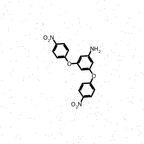 Nc1cc(Oc2ccc([N+](=O)[O-])cc2)cc(Oc2ccc([N+](=O)[O-])cc2)c1